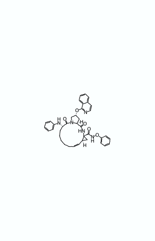 O=C1N[C@]2(C(=O)NOc3ccccc3)C[C@H]2/C=C\CCCCC[C@H](Nc2ccccc2)C(=O)N2C[C@H](Oc3nccc4ccccc34)C[C@@H]12